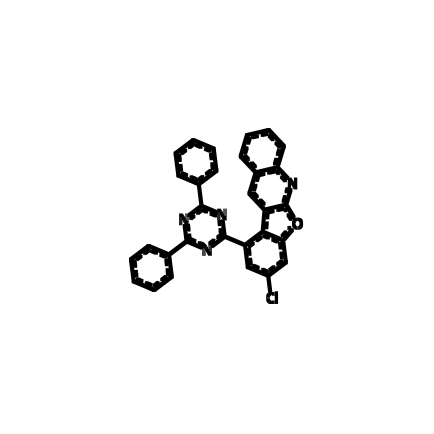 Clc1cc(-c2nc(-c3ccccc3)nc(-c3ccccc3)n2)c2c(c1)oc1nc3ccccc3cc12